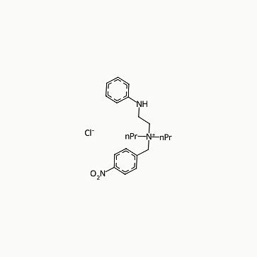 CCC[N+](CCC)(CCNc1ccccc1)Cc1ccc([N+](=O)[O-])cc1.[Cl-]